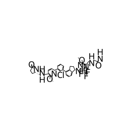 CNC(=O)CNCc1nc(C(F)(F)F)c(N[C@H]2CCc3c(-c4cccc(-c5ccc(CNC[C@@H]6CCC(=O)N6)c(OC)n5)c4Cl)cccc32)nc1OC